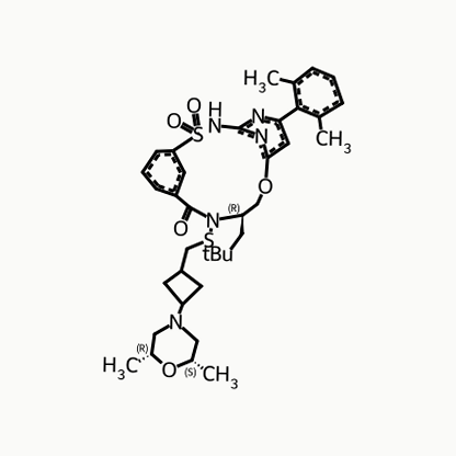 Cc1cccc(C)c1-c1cc2nc(n1)NS(=O)(=O)c1cccc(c1)C(=O)N(SCC1CC(N3C[C@@H](C)O[C@@H](C)C3)C1)[C@H](CC(C)(C)C)CO2